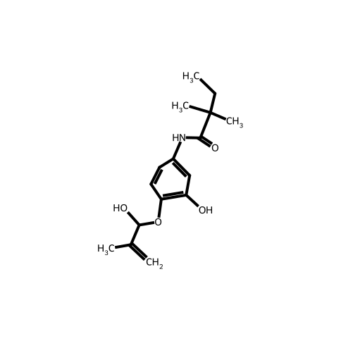 C=C(C)C(O)Oc1ccc(NC(=O)C(C)(C)CC)cc1O